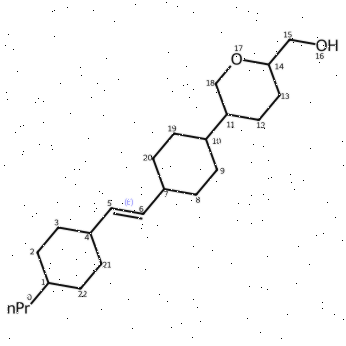 CCCC1CCC(/C=C/C2CCC(C3CCC(CO)OC3)CC2)CC1